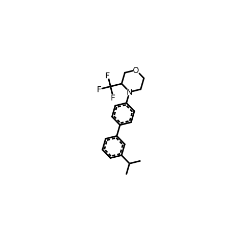 CC(C)c1cccc(-c2ccc(N3CCOCC3C(F)(F)F)cc2)c1